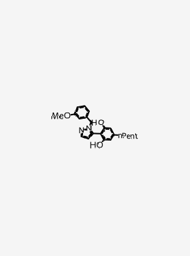 CCCCCc1cc(O)c(-c2ccnn2Cc2cccc(OC)c2)c(O)c1